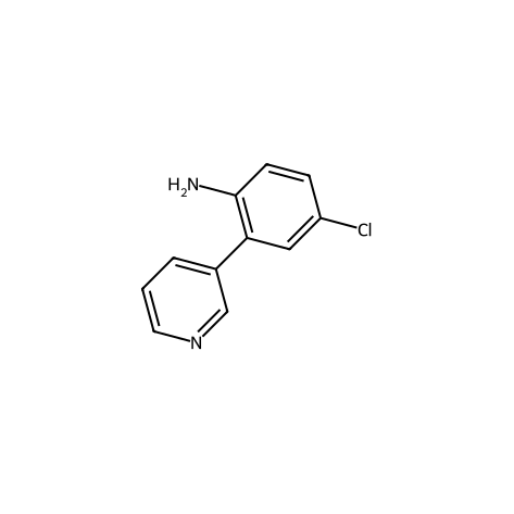 Nc1ccc(Cl)cc1-c1cccnc1